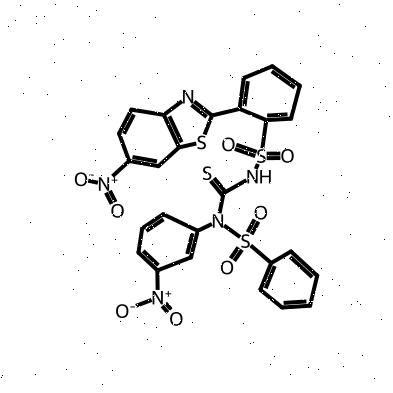 O=[N+]([O-])c1cccc(N(C(=S)NS(=O)(=O)c2ccccc2-c2nc3ccc([N+](=O)[O-])cc3s2)S(=O)(=O)c2ccccc2)c1